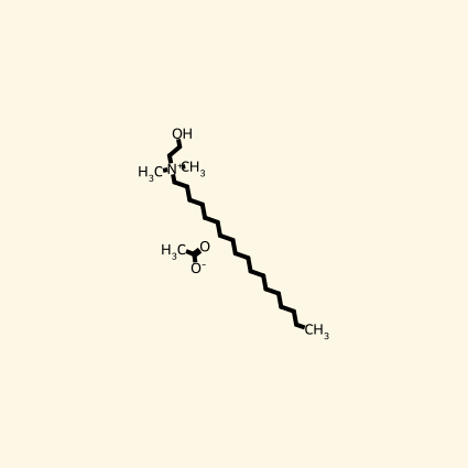 CC(=O)[O-].CCCCCCCCCCCCCCCCCC[N+](C)(C)CCO